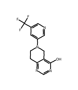 Oc1ncnc2c1CN(c1cncc(C(F)(F)F)c1)CC2